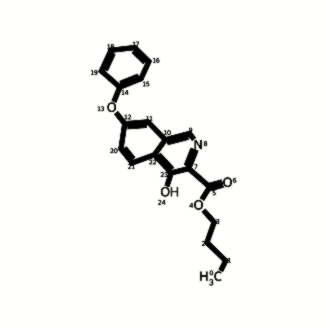 CCCCOC(=O)c1ncc2cc(Oc3ccccc3)ccc2c1O